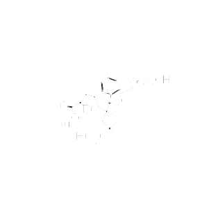 CCCCOC(=O)C(C)(CC)CC(CC(C)(CC(C)(C)C(=O)O)C(=O)OCCOS(=O)(=O)O)c1ccccc1